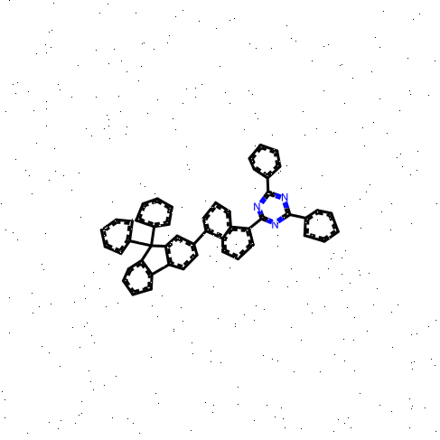 c1ccc(-c2nc(-c3ccccc3)nc(-c3cccc4c(-c5ccc6c(c5)C(c5ccccc5)(c5ccccc5)c5ccccc5-6)cccc34)n2)cc1